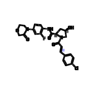 O=C(Nc1ccc(N2CCOCC2=O)cc1F)[C@H]1C[C@@H](O)CN1C(=O)/C=C/c1ccc(Cl)cc1